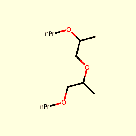 C[CH]COC(C)COC(C)COCCC